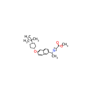 COC(=O)C1CN(C(C)c2ccc3cc(O[C@H]4CC[C@H](C(C)(C)C)CC4)ccc3c2)C1